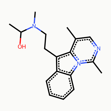 Cc1cnc(C)n2c1c(CCN(C)C(C)O)c1ccccc12